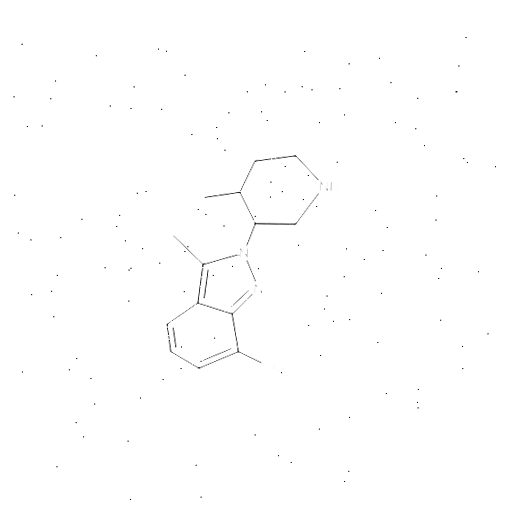 Cc1c2cccc(C(=O)O)c2nn1C1CNCCC1C